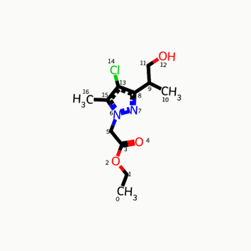 CCOC(=O)Cn1nc(C(C)CO)c(Cl)c1C